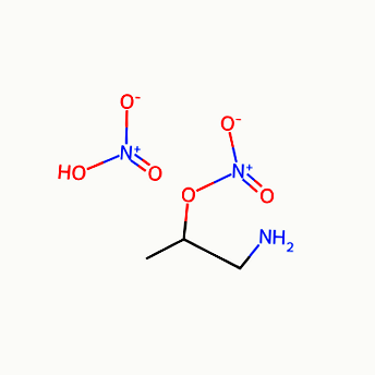 CC(CN)O[N+](=O)[O-].O=[N+]([O-])O